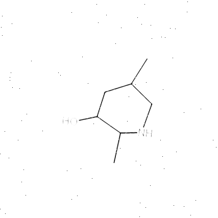 CC1CNC(C)C(O)C1